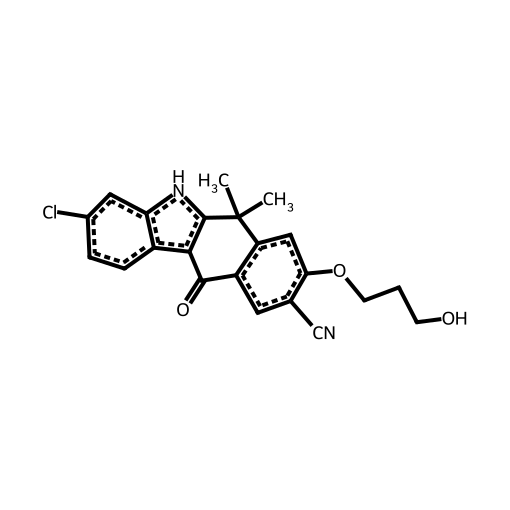 CC1(C)c2cc(OCCCO)c(C#N)cc2C(=O)c2c1[nH]c1cc(Cl)ccc21